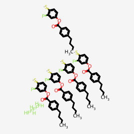 CCCCc1ccc(C(=O)Oc2ccc([S])c(F)c2)cc1.CCCCc1ccc(C(=O)Oc2ccc([S])c(F)c2)cc1.CCCCc1ccc(C(=O)Oc2ccc([S])c(F)c2)cc1.CCCCc1ccc(C(=O)Oc2ccc([S])c(F)c2)cc1.CCCCc1ccc(C(=O)Oc2ccc([S])c(F)c2)cc1.F.F.F.F.F